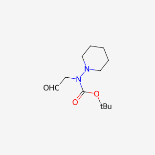 CC(C)(C)OC(=O)N(CC=O)N1CCCCC1